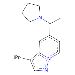 CC(C)c1cnn2ccc(C(C)N3CCCC3)cc12